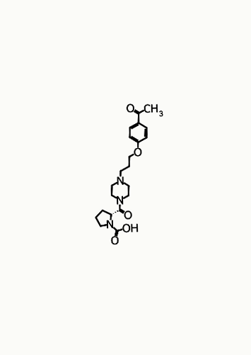 CC(=O)c1ccc(OCCCN2CCN(C(=O)[C@H]3CCCN3C(=O)O)CC2)cc1